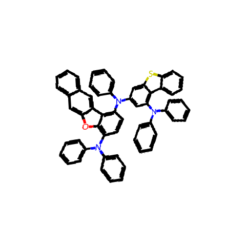 c1ccc(N(c2ccccc2)c2ccc(N(c3ccccc3)c3cc(N(c4ccccc4)c4ccccc4)c4c(c3)sc3ccccc34)c3c2oc2cc4ccccc4cc23)cc1